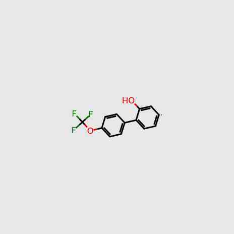 Oc1c[c]ccc1-c1ccc(OC(F)(F)F)cc1